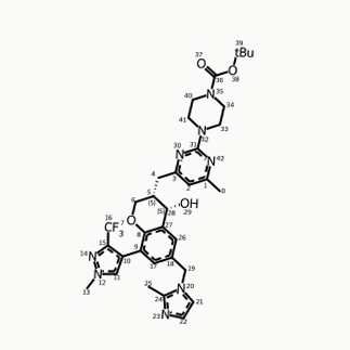 Cc1cc(C[C@H]2COc3c(-c4cn(C)nc4C(F)(F)F)cc(Cn4ccnc4C)cc3[C@H]2O)nc(N2CCN(C(=O)OC(C)(C)C)CC2)n1